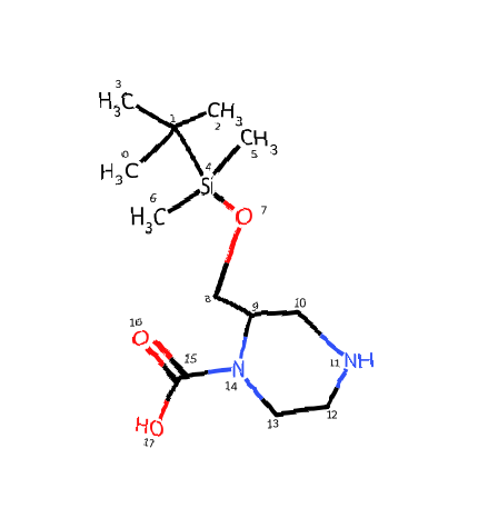 CC(C)(C)[Si](C)(C)OCC1CNCCN1C(=O)O